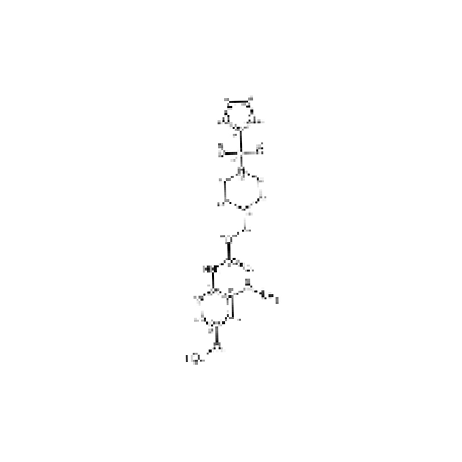 COc1ccc(NC(=O)OCC2CCN(S(=O)(=O)c3cccs3)CC2)c(OC)c1